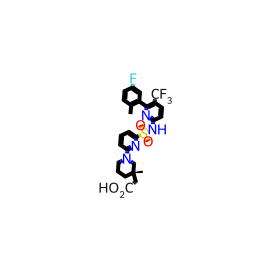 Cc1ccc(F)cc1-c1nc(NS(=O)(=O)c2cccc(N3CCC[C@@](C)(CC(=O)O)C3)n2)ccc1C(F)(F)F